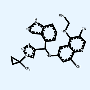 CC(C)(C)CNc1c(C#N)cnc2c(C#N)cc(NC(c3cn(C4(C(F)(F)F)CC4)nn3)c3cccc4[nH]ncc34)cc12